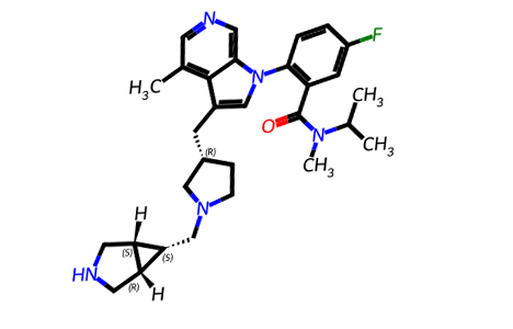 Cc1cncc2c1c(C[C@@H]1CCN(C[C@@H]3[C@@H]4CNC[C@@H]43)C1)cn2-c1ccc(F)cc1C(=O)N(C)C(C)C